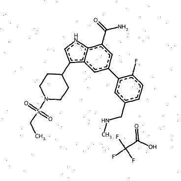 CCS(=O)(=O)N1CCC(c2c[nH]c3c(C(N)=O)cc(-c4cc(CNC)ccc4F)cc23)CC1.O=C(O)C(F)(F)F